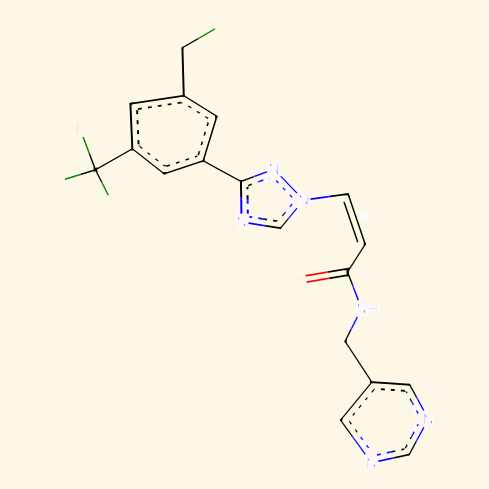 O=C(/C=C\n1cnc(-c2cc(CF)cc(C(F)(F)F)c2)n1)NCc1cncnc1